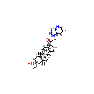 CC[C@@]1(O)CC[C@H]2[C@H](CC[C@@H]3[C@@H]2CC[C@]2(C)[C@@H](C(=O)Cn4ncc5ncccc54)CC[C@@H]32)C1